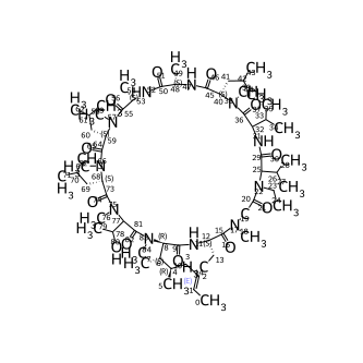 C/C=C/C[C@@H](C)[C@H](C)[C@@H]1C(=O)N[C@@H](CC)C(=O)N(C)CC(=O)N(CC)C(C(C)C)C(=O)NC(C(C)C)C(=O)N(C)[C@@H](CC(C)C)C(=O)N[C@@H](C)C(=O)N[C@@H](C)C(=O)N(C)[C@@H](CC(C)C)C(=O)N(C)[C@@H](CC(C)C)C(=O)N(C)C(C(C)O)C(=O)N1C